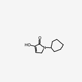 O=C1C(O)=CCN1C1CCCCC1